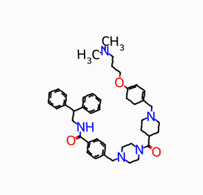 CN(C)CCCOC1=CC=C(CN2CCC(C(=O)N3CCN(Cc4ccc(C(=O)NCC(c5ccccc5)c5ccccc5)cc4)CC3)CC2)CC1